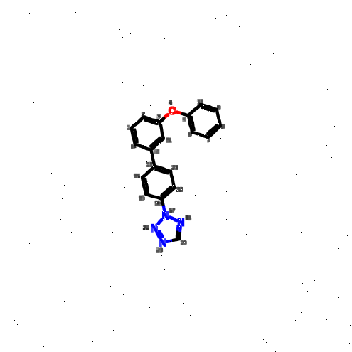 [c]1ccc(Oc2ccccc2)cc1-c1ccc(-n2ncnn2)cc1